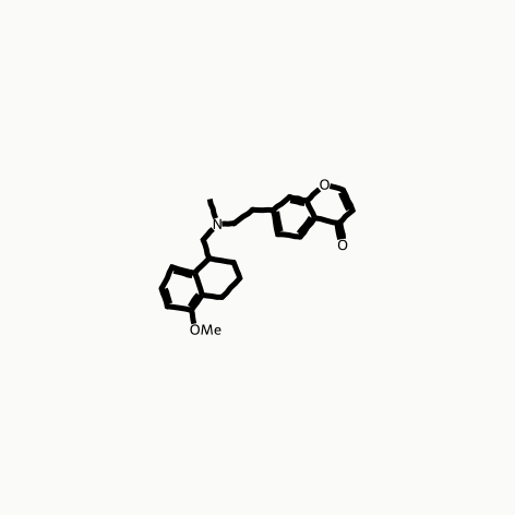 COc1cccc2c1CCCC2CN(C)CCc1ccc2c(=O)ccoc2c1